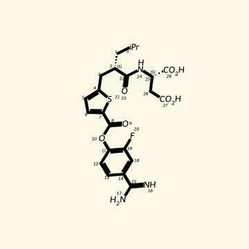 CC(C)C[C@@H](Cc1ccc(C(=O)Oc2ccc(C(=N)N)cc2F)s1)C(=O)N[C@@H](CC(=O)O)C(=O)O